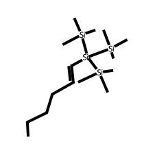 CCCCC=C[Si]([Si](C)(C)C)([Si](C)(C)C)[Si](C)(C)C